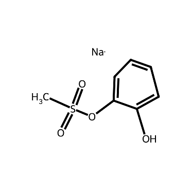 CS(=O)(=O)Oc1ccccc1O.[Na]